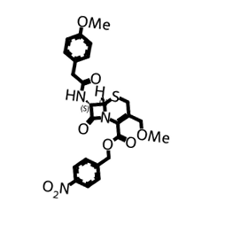 COCC1=C(C(=O)OCc2ccc([N+](=O)[O-])cc2)N2C(=O)[C@H](NC(=O)Cc3ccc(OC)cc3)[C@@H]2SC1